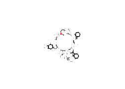 C=CC(C)(C)n1cc(C[C@@H]2NC(=O)[C@H](Cc3ccc(F)cc3)NC(=O)[C@H](CC(C)C)N3CCC[C@@H](C3=O)N(C)C(=O)[C@H](C)NC(=O)[C@H](Cc3ccc4ncsc4c3)NC(=O)[C@H](CC(C)C)N(C)C2=O)c2ccccc21